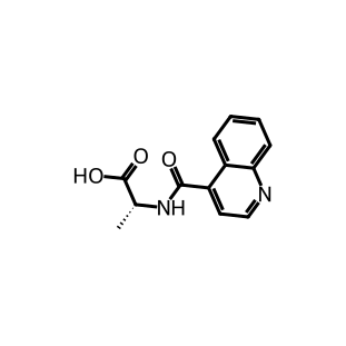 C[C@@H](NC(=O)c1ccnc2ccccc12)C(=O)O